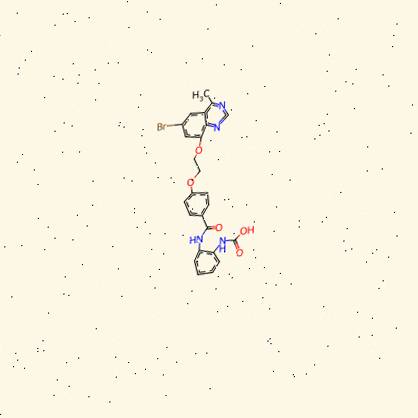 Cc1ncnc2c(OCCOc3ccc(C(=O)Nc4ccccc4NC(=O)O)cc3)cc(Br)cc12